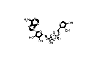 Nc1ncnc2c1ncn2[C@@H]1O[C@H](COP(=O)(O)OP(=O)(O)OC[C@H]2OC[C@H](O)[C@@H]2O)[C@@H](O)[C@H]1O